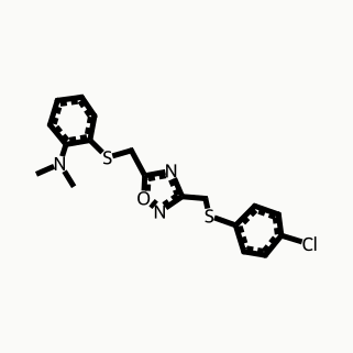 CN(C)c1ccccc1SCc1nc(CSc2ccc(Cl)cc2)no1